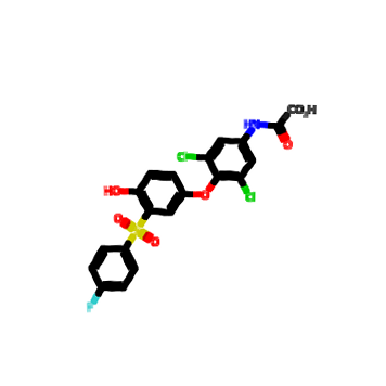 O=C(O)C(=O)Nc1cc(Cl)c(Oc2ccc(O)c(S(=O)(=O)c3ccc(F)cc3)c2)c(Cl)c1